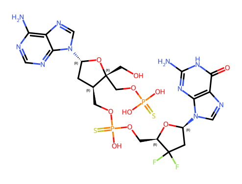 Nc1nc2c(ncn2[C@H]2CC(F)(F)[C@@H](COP(O)(=S)OC[C@H]3C[C@H](n4cnc5c(N)ncnc54)O[C@]3(CO)COP(O)(O)=S)O2)c(=O)[nH]1